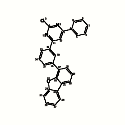 Clc1nc(-c2ccccc2)cc(-c2cccc(-c3cccc4c3oc3ccccc34)c2)n1